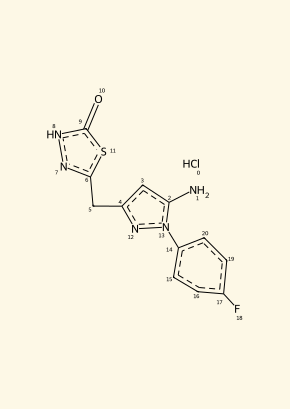 Cl.Nc1cc(Cc2n[nH]c(=O)s2)nn1-c1ccc(F)cc1